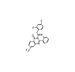 O=c1c2ccc(C(F)(F)F)cc2nc(-c2ccccc2F)n1NCc1ccc(F)cc1F